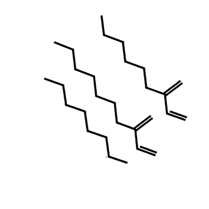 C=CC(=C)CCCCCC.C=CC(=C)CCCCCCC.C[CH]CCCCCC